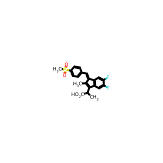 CC1=C(C(C)C(=O)O)c2cc(F)c(F)cc2/C1=C/c1ccc(S(C)(=O)=O)cc1